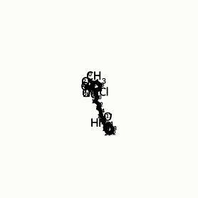 CC(=O)c1ccc(Cl)c(OCCCCCCC(=O)NN2CCCCC2)c1[N+](=O)[O-]